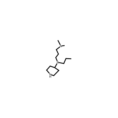 CCCN(CCCN(C)C)C1CCNCC1